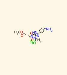 COC(=O)CCCCn1c(=O)c2[nH]c([C@H]3CC[C@H](CN)CC3)nc2n(C)c1=O.Cl.Cl